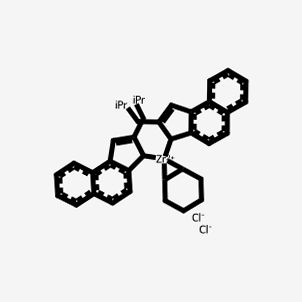 CC(C)CC1=Cc2c(ccc3ccccc23)[CH]1[Zr+2]1([CH]2C(CC(C)C)=Cc3c2ccc2ccccc32)[CH]2CCCC[CH]21.[Cl-].[Cl-]